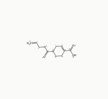 C=CCOC(=O)N1CC=C(C(=O)O)CC1